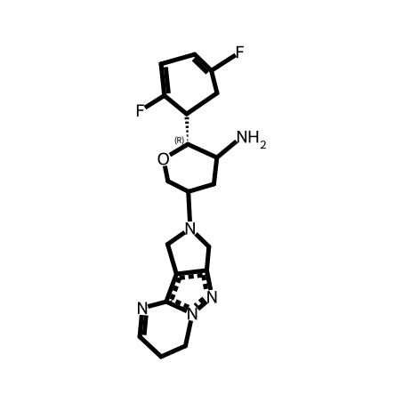 NC1CC(N2Cc3nn4c(c3C2)N=CCC4)CO[C@@H]1C1CC(F)=CC=C1F